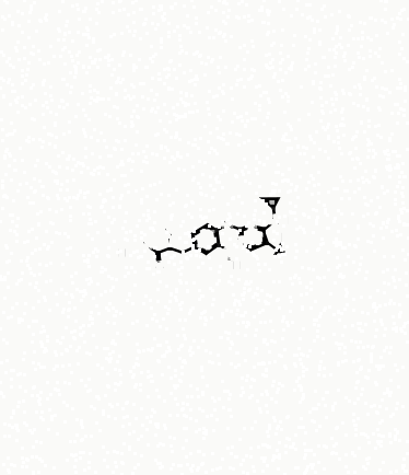 CNC(=O)[C@@H](N)Cc1ccc(Nc2ncc(C(F)(F)F)c(NC3CC3)n2)c(OC)c1